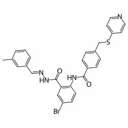 Cc1cccc(/C=N/NC(=O)c2cc(Br)ccc2NC(=O)c2ccc(CSc3ccncc3)cc2)c1